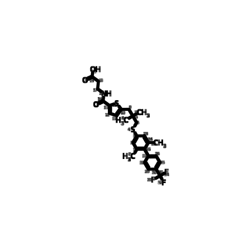 Cc1cc(SCC(C)(C)Cc2ccc(C(=O)NCCC(=O)O)s2)cc(C)c1-c1ccc(C(F)(F)F)cc1